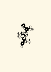 CC(C)[C@@H](NC(=O)c1cc(C(=O)O)cc(-c2ccccn2)c1)C(=O)N1CCC(c2ccc(Cl)cc2)C(C)(C)C1